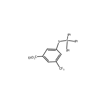 CCOC(=O)c1cc(SS(C(C)C)(C(C)C)C(C)C)cc(C(F)(F)F)c1